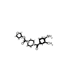 Cc1cc(C(=O)N2CCN(C(=O)OC3CCOC3)CC2)ccc1N